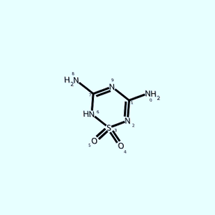 NC1=NS(=O)(=O)NC(N)=N1